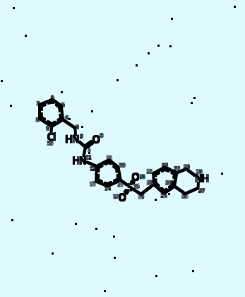 O=C(NCc1ccccc1Cl)Nc1ccc(S(=O)(=O)Cc2ccc3c(c2)CCNC3)cc1